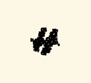 CC(C)c1ccc(NC(=O)N2[C@H](CC[C@@H]3CN(c4ccc(C#N)nn4)C[C@H](C)N3C(=O)Nc3ccc(C(C)C)cc3)CN(c3ccc(C#N)nn3)C[C@@H]2C)cc1